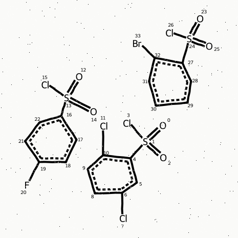 O=S(=O)(Cl)c1cc(Cl)ccc1Cl.O=S(=O)(Cl)c1ccc(F)cc1.O=S(=O)(Cl)c1ccccc1Br